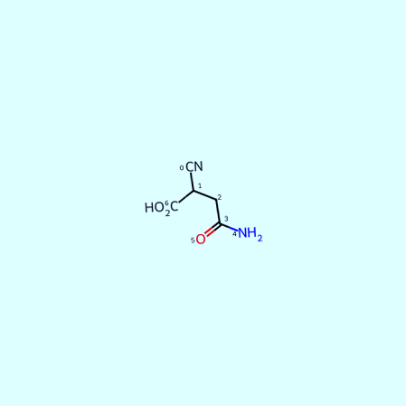 N#CC(CC(N)=O)C(=O)O